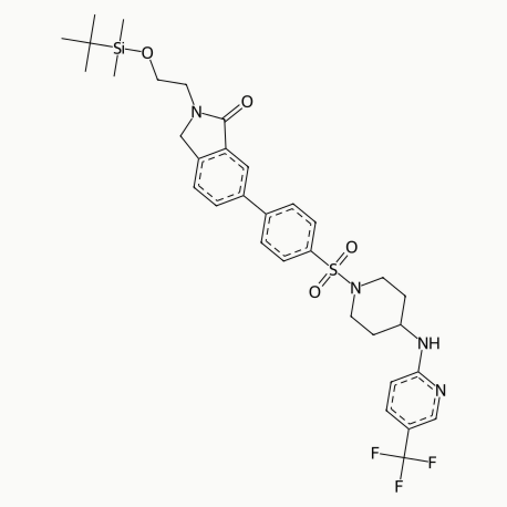 CC(C)(C)[Si](C)(C)OCCN1Cc2ccc(-c3ccc(S(=O)(=O)N4CCC(Nc5ccc(C(F)(F)F)cn5)CC4)cc3)cc2C1=O